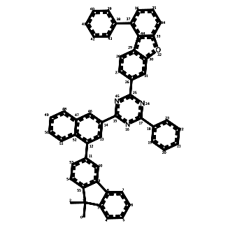 CC1(C)c2ccccc2-c2cc(-c3cc(-c4nc(-c5ccccc5)nc(-c5ccc6c(c5)oc5cccc(-c7ccccc7)c56)n4)cc4ccccc34)ccc21